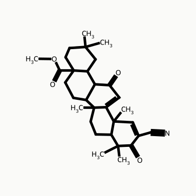 COC(=O)C12CCC3C(C(=O)C=C4C5(C)C=C(C#N)C(=O)C(C)(C)C5CCC43C)C1CC(C)(C)CC2